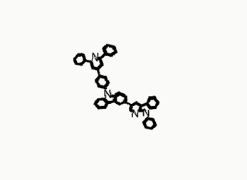 c1ccc(-c2cc(-c3ccc(-n4c5ccccc5c5cc(-c6cnc7c(c6)c6ccccc6n7-c6ccccc6)ccc54)cc3)cc(-c3ccccc3)n2)cc1